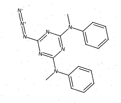 CN(c1ccccc1)c1nc(N=[N+]=[N-])nc(N(C)c2ccccc2)n1